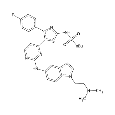 CCCCS(=O)(=O)Nc1nc(-c2ccc(F)cc2)c(-c2ccnc(Nc3ccc4c(ccn4CCN(C)C)c3)n2)s1